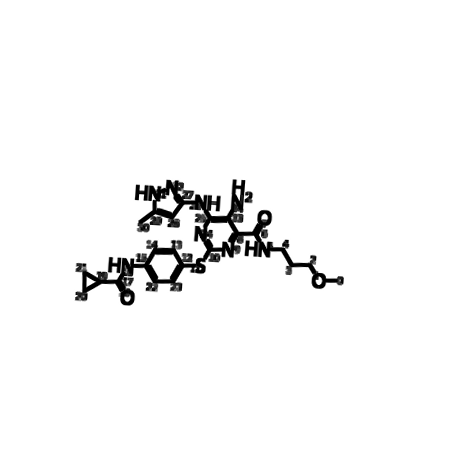 COCCCNC(=O)c1nc(Sc2ccc(NC(=O)C3CC3)cc2)nc(Nc2cc(C)[nH]n2)c1N